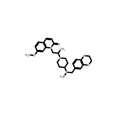 BN(Cc1ccc2c(c1)OCCO2)C1CCN(C(C)Cn2c(=O)ccc3ccc(OC)cc32)CC1